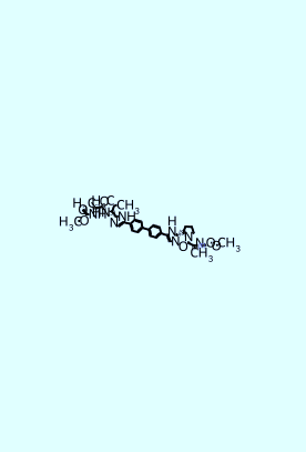 COO/C=N/[C@@H](C)C(=O)N1CCC[C@H]1c1ncc(-c2ccc(-c3ccc(-c4cnc([C@@H](NC(=O)[C@H](C)NC(=O)OC)C(C)C)[nH]4)cc3)cc2)[nH]1